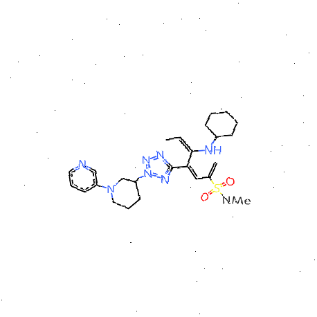 C=C(/C=C(\C(=C/C)NC1CCCCC1)c1nnn(C2CCCN(c3cccnc3)C2)n1)S(=O)(=O)NC